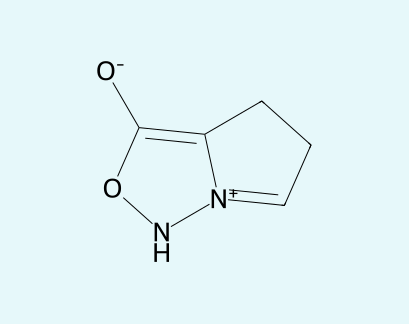 [O-]C1=C2CCC=[N+]2NO1